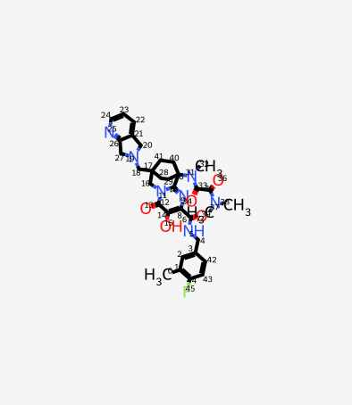 Cc1cc(CNC(=O)c2nc3n(c(=O)c2O)CC2(CN4Cc5cccnc5C4)CCC3(N(C)C(=O)C(=O)N(C)C)CC2)ccc1F